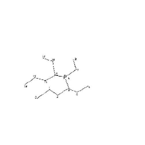 CCCC(CC)P(CC)C(CC)CCC